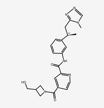 C[C@H](Cc1nncn1C)c1cccc(NC(=O)c2cc(C(=O)N3CC(CO)C3)ccn2)c1